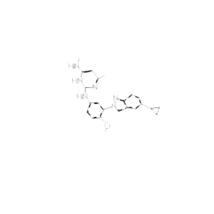 CNC1=CC(C)=NC(Nc2ccc(OC)c(-n3cc4cc(C5CC5)ccc4n3)c2)N1